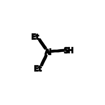 C[CH2][Al]([SH])[CH2]C